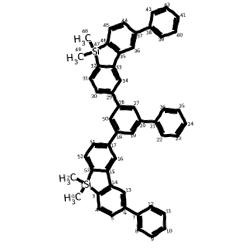 C[Si]1(C)c2ccc(-c3ccccc3)cc2-c2cc(-c3cc(-c4ccccc4)cc(-c4ccc5c(c4)-c4cc(-c6ccccc6)ccc4[Si]5(C)C)c3)ccc21